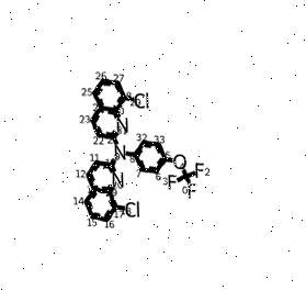 FC(F)(F)Oc1ccc(N(c2ccc3cccc(Cl)c3n2)c2ccc3cccc(Cl)c3n2)cc1